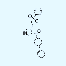 O=C([C@@H]1CNC[C@@H]1CCS(=O)(=O)c1ccccc1)N1CCC(c2ccccc2)CC1